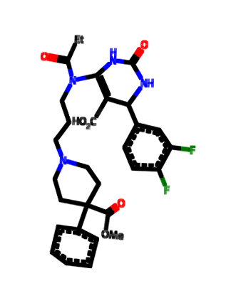 CCC(=O)N(CCCN1CCC(C(=O)OC)(c2ccccc2)CC1)C1=C(C(=O)O)C(c2ccc(F)c(F)c2)NC(=O)N1